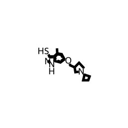 Cc1cc(OCC2CCN(C3CCC3)C2)cc2[nH]nc(S)c12